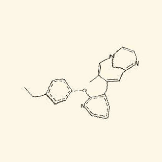 CCc1ccc(Oc2ncccc2C2=CC3=NC=CN(C=C2C)C3)cc1